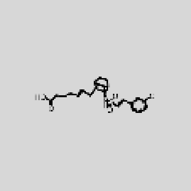 O=C(O)CCCC=CCC1C2CCC(CC2)C1NS(=O)(=O)C=Cc1cccc(Cl)c1